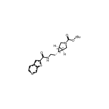 CC(C)(C)OC(=O)N1C[C@@H]2[C@@H](CCNC(=O)c3cc4ccncc4s3)[C@@H]2C1